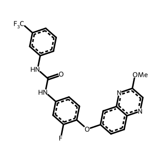 COc1cnc2ccc(Oc3ccc(NC(=O)Nc4cccc(C(F)(F)F)c4)cc3F)cc2n1